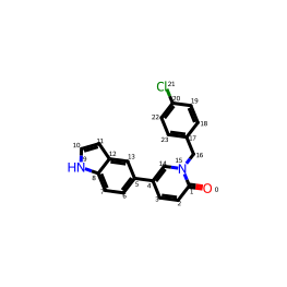 O=c1ccc(-c2ccc3[nH]ccc3c2)cn1Cc1ccc(Cl)cc1